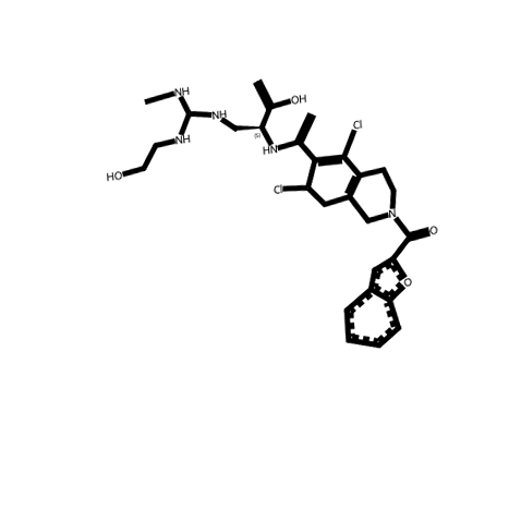 C=C(N[C@@H](CNC(NC)NCCO)C(=C)O)C1=C(Cl)C2=C(CC1Cl)CN(C(=O)c1cc3ccccc3o1)CC2